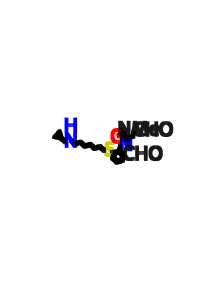 CNC(=O)C(CCC=O)N(C)Cc1c(C=O)cccc1SCCCCCCCNCC1CC1